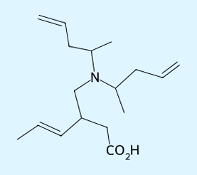 C=CCC(C)N(CC(/C=C/C)CC(=O)O)C(C)CC=C